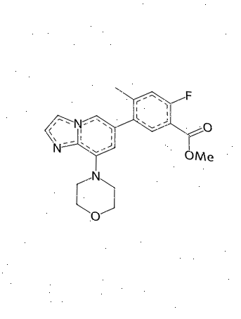 COC(=O)c1cc(-c2cc(N3CCOCC3)c3nccn3c2)c(C)cc1F